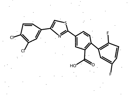 O=C(O)c1cc(-c2nc(-c3ccc(Cl)c(Cl)c3)cs2)ccc1-c1cc(F)ccc1F